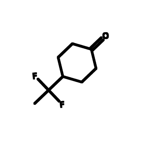 CC(F)(F)C1CCC(=O)CC1